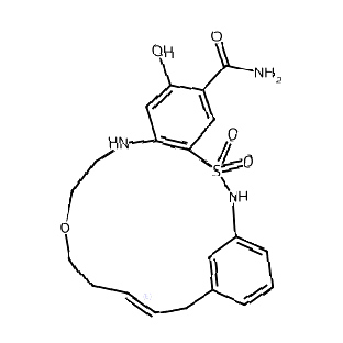 NC(=O)c1cc2c(cc1O)NCCOCC/C=C/Cc1cccc(c1)NS2(=O)=O